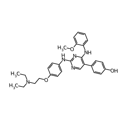 CCN(CC)CCOc1ccc(Nc2ncc(-c3ccc(O)cc3)c(Nc3ccccc3OC)n2)cc1